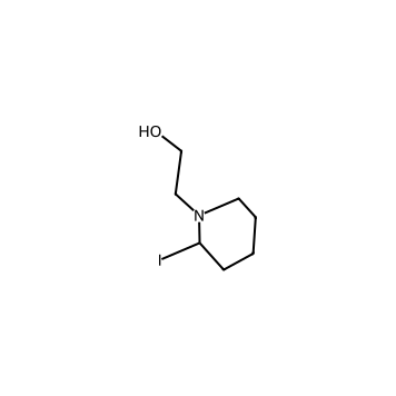 OCCN1CCCCC1I